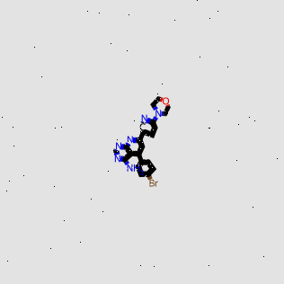 Nc1ncnc2nc(-c3ccc(N4CCOCC4)nc3)cc(-c3ccc(Br)cc3)c12